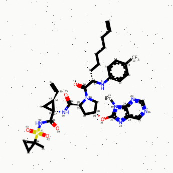 C=CCCCCC[C@H](Nc1ccc(C(F)(F)F)cc1)C(=O)N1C[C@H](Oc2nc3cncnc3n2C(C)C)C[C@H]1C(=O)N[C@]1(C(=O)NS(=O)(=O)C2(C)CC2)C[C@H]1C=C